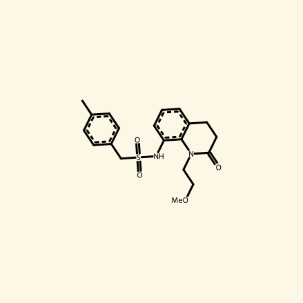 COCCN1C(=O)CCc2cccc(NS(=O)(=O)Cc3ccc(C)cc3)c21